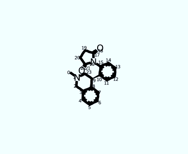 CN1Cc2ccccc2[C@H](c2ccccc2N2C(=O)CCC2=O)C1